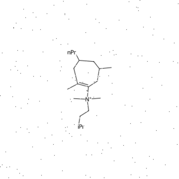 CCCC1CC(C)=C([N+](C)(C)CCC(C)C)CC(C)C1